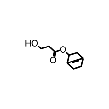 O=C(CCO)OC1CC2C=CC1CC2